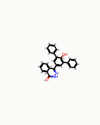 O=c1[nH]nc(-c2cc(-c3ccccc3)c(O)c(-c3ccccc3)c2)c2ccccc12